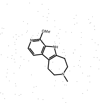 COc1nccc2c3c([nH]c12)CCN(C)CC3